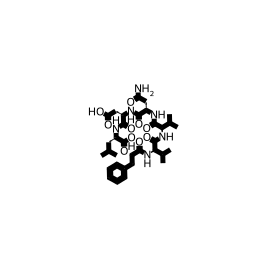 CC(C)C[C@H](NC(=O)[C@H](CC(=O)O)NC(=O)[C@H](CC(N)=O)NC(=O)[C@@H](NC(=O)[C@@H](NC(=O)CCc1ccccc1)C(C)C)C(C)C)C(=O)O